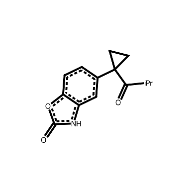 CC(C)C(=O)C1(c2ccc3oc(=O)[nH]c3c2)CC1